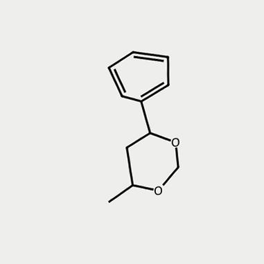 CC1CC(c2ccccc2)OCO1